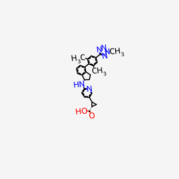 Cc1cc(-c2nnn(C)n2)cc(C)c1-c1cccc2c1CC[C@H]2Nc1ccc(C2C[C@@H]2C(=O)O)cn1